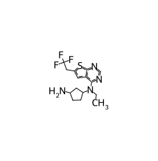 CCN(c1ncnc2sc(CC(F)(F)F)cc12)C1CCC(N)C1